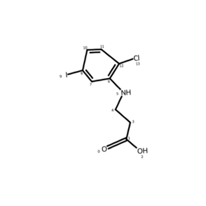 O=C(O)CCNc1cc(I)ccc1Cl